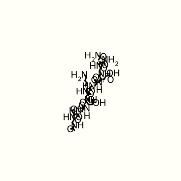 CC(=O)NCC(=O)NC(CO)C(=O)NCC(=O)NC(CC(=O)O)C(=O)NCC(=O)N[C@H](CCCCN)C(=O)NCC(=O)N[C@H](CCC(=O)O)C(=O)NCC(=O)N[C@H](CC(N)=O)C(N)=O